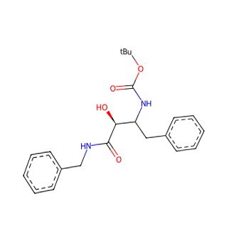 CC(C)(C)OC(=O)NC(Cc1ccccc1)[C@H](O)C(=O)NCc1ccccc1